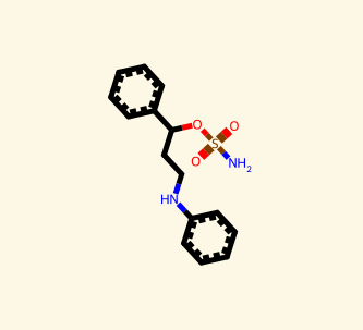 NS(=O)(=O)OC(CCNc1ccccc1)c1ccccc1